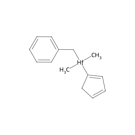 [CH3][Hf]([CH3])([CH2]c1ccccc1)[C]1=CC=CC1